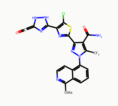 COc1nccc2c(-n3nc(-c4nc(C5=NC(=C=O)NN5)c(Cl)s4)c(C(N)=O)c3C(F)(F)F)cccc12